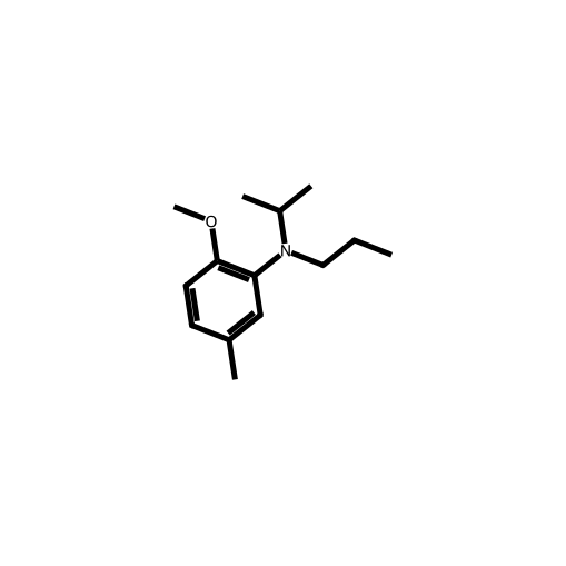 CCCN(c1cc(C)ccc1OC)C(C)C